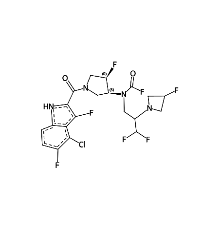 O=C(c1[nH]c2ccc(F)c(Cl)c2c1F)N1C[C@@H](F)[C@@H](N(CC(C(F)F)N2CC(F)C2)C(=O)F)C1